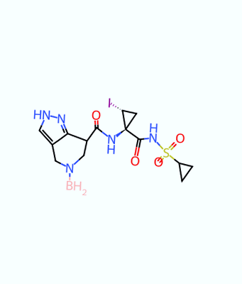 BN1Cc2c[nH]nc2C(C(=O)N[C@]2(C(=O)NS(=O)(=O)C3CC3)C[C@H]2I)C1